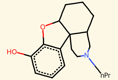 CCCN1CCC23c4cccc(O)c4OC2CCCC3C1